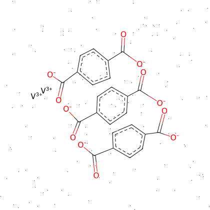 O=C([O-])c1ccc(C(=O)[O-])cc1.O=C([O-])c1ccc(C(=O)[O-])cc1.O=C([O-])c1ccc(C(=O)[O-])cc1.[V+3].[V+3]